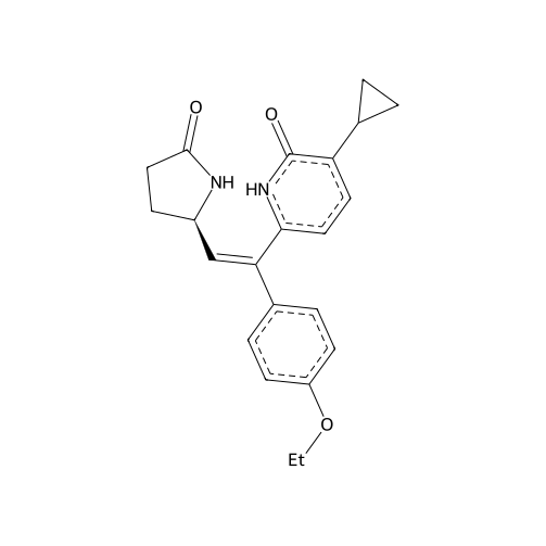 CCOc1ccc(/C(=C/[C@H]2CCC(=O)N2)c2ccc(C3CC3)c(=O)[nH]2)cc1